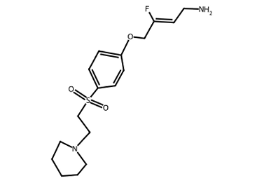 NCC=C(F)COc1ccc(S(=O)(=O)CCN2CCCCC2)cc1